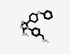 CCc1ccc(-n2c(C)nnc2C2CCC(Oc3ccccc3)CC2)cc1